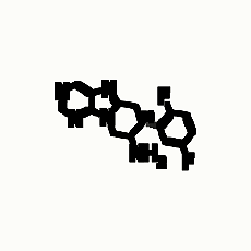 NC1Cn2c(nc3cncnc32)C[C@@H]1c1cc(F)ccc1F